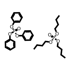 CCCCOP(=O)(OCCCC)OCCCC.O=P(Oc1ccccc1)(Oc1ccccc1)Oc1ccccc1